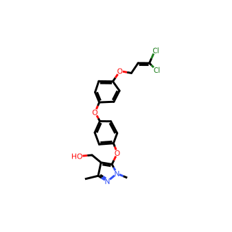 Cc1nn(C)c(Oc2ccc(Oc3ccc(OCC=C(Cl)Cl)cc3)cc2)c1CO